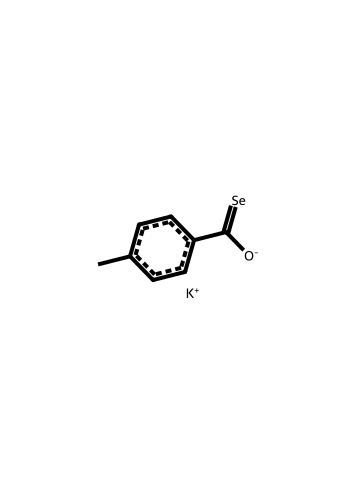 Cc1ccc(C([O-])=[Se])cc1.[K+]